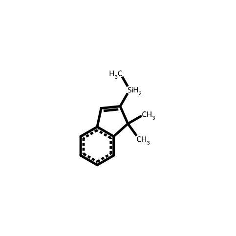 C[SiH2]C1=Cc2ccccc2C1(C)C